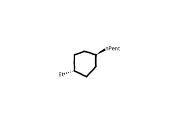 CCCCC[C@H]1CC[C@H](CC)CC1